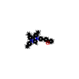 Cc1cc2c3c(c1)N(c1ccc(-c4ccc5c(c4)oc4ccccc45)cc1)c1cc(C(C)(C)C)ccc1B3c1cc(C(C)(C)C)ccc1N2c1ccc(C(C)(C)C)cc1